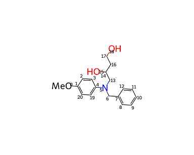 COc1ccc(N(Cc2ccccc2)CC(O)CCO)cc1